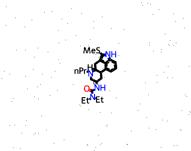 CCCN1C[C@@H](NC(=O)N(CC)CC)CC2c3cccc4[nH]c(SC)c(c34)C[C@H]21